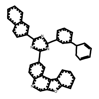 C1=CCC(c2cccc(-c3nc(-c4ccc5ccccc5c4)nc(-c4ccc5ncc6oc7ccccc7c6c5c4)n3)c2)C=C1